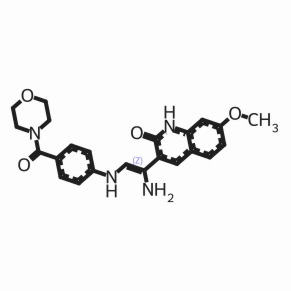 COc1ccc2cc(/C(N)=C/Nc3ccc(C(=O)N4CCOCC4)cc3)c(=O)[nH]c2c1